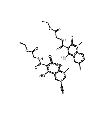 CCOC(=O)CNC(=O)c1c(O)c2cc(C#N)cc(C)c2[nH]c1=O.CCOC(=O)CNC(=O)c1c(O)c2cc(I)ccc2n(C)c1=O